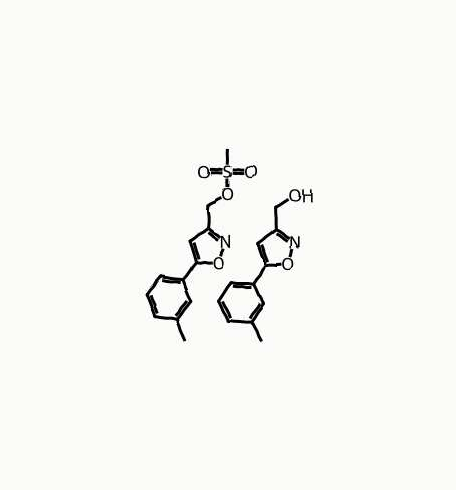 Cc1cccc(-c2cc(CO)no2)c1.Cc1cccc(-c2cc(COS(C)(=O)=O)no2)c1